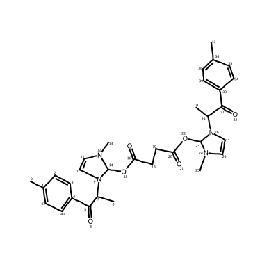 Cc1ccc(C(=O)C(C)N2C=CN(C)C2OC(=O)CCC(=O)OC2N(C)C=CN2C(C)C(=O)c2ccc(C)cc2)cc1